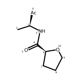 CC(=O)[C@H](C)NC(=O)[C@@H]1CCCO1